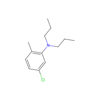 CCCN(CCC)c1cc(Cl)ccc1C